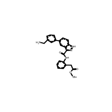 CC(C)(C)OC(=O)Cc1ccccc1NC(=O)c1n[nH]c2ccc(-c3cccc(CN)c3)cc12